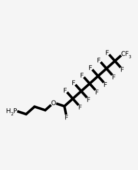 FC(OCCCP)C(F)(F)C(F)(F)C(F)(F)C(F)(F)C(F)(F)C(F)(F)C(F)(F)F